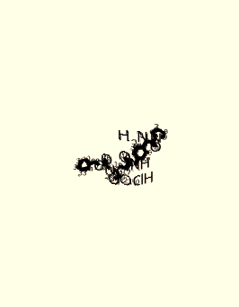 Cl.N[C@H](C(=O)N1CCCC1)C1CCC(NC(=O)CC[C@H]2C(=O)OCN2C(=O)OCc2ccccc2)CC1